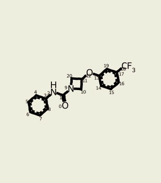 O=C(Nc1ccccc1)N1CC(Oc2cccc(C(F)(F)F)c2)C1